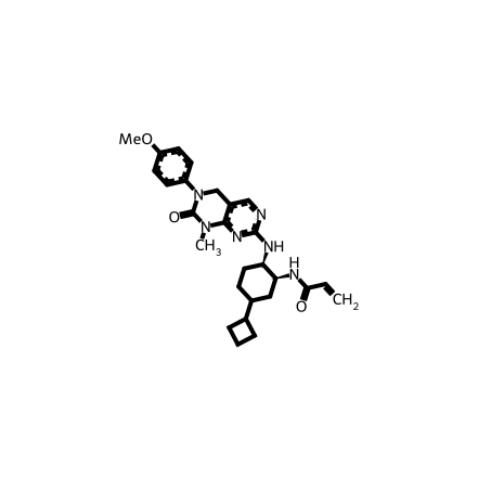 C=CC(=O)N[C@H]1CC(C2CCC2)CC[C@H]1Nc1ncc2c(n1)N(C)C(=O)N(c1ccc(OC)cc1)C2